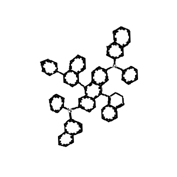 C1=c2ccccc2=C(c2c3cc(N(c4ccccc4)c4ccc5ccccc5c4)ccc3c(-c3ccc(-c4ccccc4)c4ccccc34)c3cc(N(c4ccccc4)c4ccc5ccccc5c4)ccc23)CC1